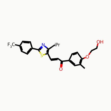 Cc1cc(C(=O)C=Cc2sc(-c3ccc(C(F)(F)F)cc3)nc2C(C)C)ccc1OCCO